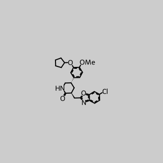 COc1ccc([C@H]2CNC(=O)[C@H](Cc3nc4ccc(Cl)cc4o3)C2)cc1OC1CCCC1